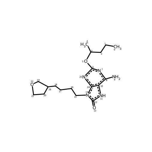 CCCC(C)Oc1nc(N)c2[nH]c(=O)n(CCCCC3CCOC3)c2n1